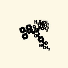 CNC(=O)c1ccc(C(=O)C[C@@H]2[C@@H]([C@@H](C)O[Si](C)(C)C)C(=O)N2OC(=O)C=P(c2ccccc2)(c2ccccc2)c2ccccc2)cc1